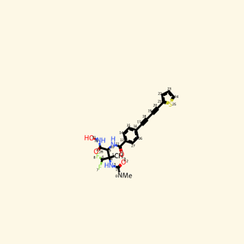 CNC(=O)NC(C)(C(F)F)C(NC(=O)c1ccc(C#CC#Cc2cccs2)cc1)C(=O)NO